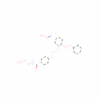 CC(=NO)c1ccc(OCc2ccccc2)c(CCCc2ccc(C(=O)NCCO)cc2)c1